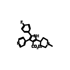 CCOC(=O)c1c(C2CCN(C)CC2)[nH]c(-c2ccc(F)cc2)c1-c1ccncc1